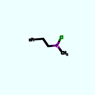 CCCCCP(C)Cl